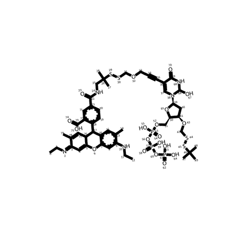 CC/N=C1/C=C2Oc3cc(NCC)c(C)cc3C(c3ccc(C(=O)NCC(C)(C)SSCOCC#CC4=CN([C@H]5C[C@@H](OCSSC(C)(C)C)[C@@H](COP(=O)(O)OP(=O)(O)OP(=O)(O)O)O5)C(O)NC4=O)cc3C(=O)O)C2C=C1C